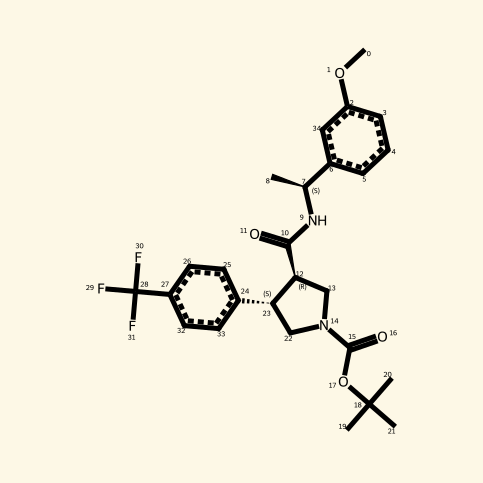 COc1cccc([C@H](C)NC(=O)[C@H]2CN(C(=O)OC(C)(C)C)C[C@@H]2c2ccc(C(F)(F)F)cc2)c1